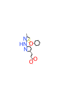 COC(=O)C=Cc1cnc(Nc2nc(C)cs2)c(Oc2ccccc2)c1